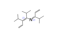 C=C/C(=N\C(=C(/C=C)C(C)C)C(C)C)C(C)C